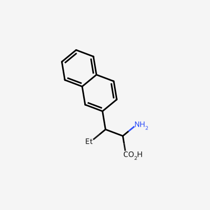 CCC(c1ccc2ccccc2c1)C(N)C(=O)O